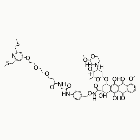 COc1cccc2c1C(=O)c1c(O)c3c(c(O)c1C2=O)C[C@@](O)(C(=O)NOCc1ccc(NC(=O)CNC(=O)CCOCCOCCOc2cc(CSC)nc(CSC)c2)cc1)C[C@@H]3O[C@H]1C[C@H]2[C@H](O[C@@H]3[C@@H](OC)OCCN32)[C@H](C)O1